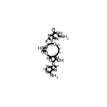 Nc1nc2c(ncn2[C@@H]2OCCCC[C@H]3[C@@H](O)[C@H](n4cnc5c(N)ncnc54)O[C@@H]3COP(=O)(O)O[C@@H]2F)c(=O)[nH]1